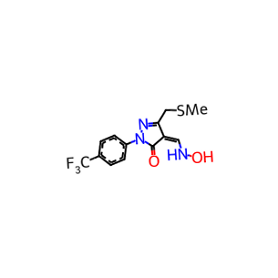 CSCC1=NN(c2ccc(C(F)(F)F)cc2)C(=O)C1=CNO